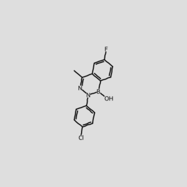 CC1=NN(c2ccc(Cl)cc2)B(O)c2ccc(F)cc21